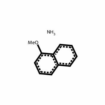 COc1cccc2ccccc12.N